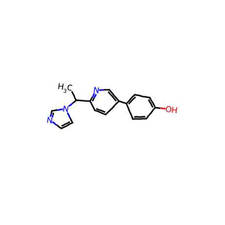 CC(c1ccc(-c2ccc(O)cc2)cn1)n1ccnc1